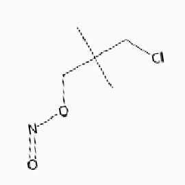 CC(C)(CCl)CON=O